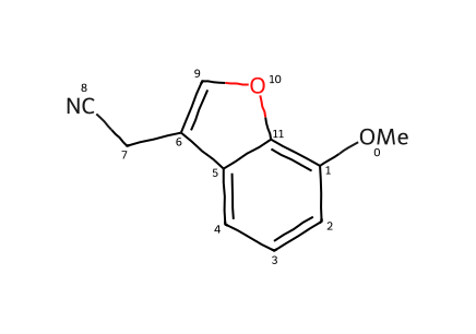 COc1cccc2c(CC#N)coc12